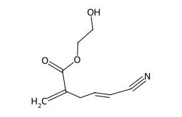 C=C(CC=CC#N)C(=O)OCCO